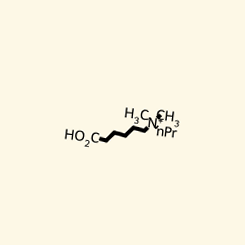 CCC[N+](C)(C)CCCCCC(=O)O